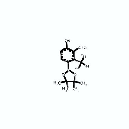 [2H]C([2H])([2H])c1c(B2OC(C)(C)C(C)(C)O2)ccc(O)c1C=O